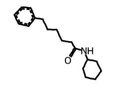 O=C(CCCCCc1ccccc1)NC1CCCCC1